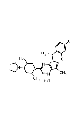 Cc1nn([C@H](C)c2ccc(Cl)cc2Cl)c2nc(N3CC(C)C(N4CCCC4)C[C@@H]3C)cnc12.Cl